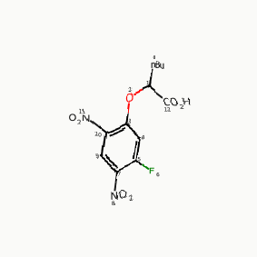 CCCCC(Oc1cc(F)c([N+](=O)[O-])cc1[N+](=O)[O-])C(=O)O